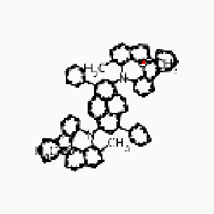 Cc1ccc2ccc(C)c(N(c3cc(-c4ccccc4)c4ccc5c(N(c6c(C)ccc7ccc(C)cc67)c6cccc7c6oc6ccccc67)cc(-c6ccccc6)c6ccc3c4c65)c3cccc4c3oc3ccccc34)c2c1